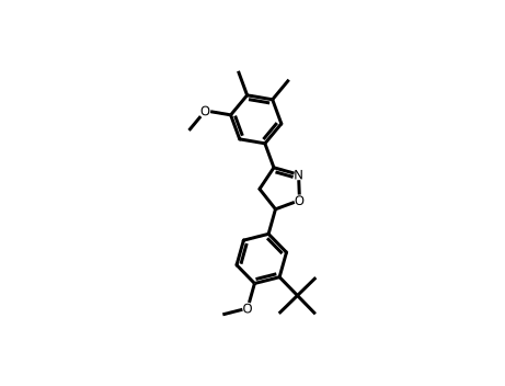 COc1ccc(C2CC(c3cc(C)c(C)c(OC)c3)=NO2)cc1C(C)(C)C